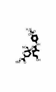 Cc1c(Nc2ccc(S(N)(=O)=O)cc2)nn([C@]2(CC#N)CC[C@@H](C(=O)OC(C)(C)C)OC2)c1C=CO